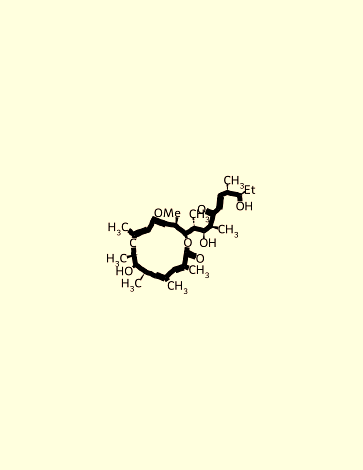 CC[C@H](O)[C@@H](C)/C=C/C(=O)[C@@H](C)[C@H](O)[C@@H](C)[C@H]1OC(=O)/C(C)=C/C(C)=C\[C@H](C)[C@@H](O)[C@@H](C)C/C(C)=C/C=C/[C@H]1OC